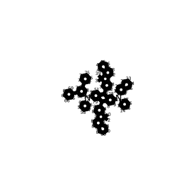 CC1(C)c2cc(-c3c4ccc(N(c5ccccc5)c5ccc6ccccc6c5)cc4c(-c4ccc5c(c4)C(C)(C)c4c-5ccc5ccccc45)c4ccc(N(c5ccccc5)c5cc(-c6ccccc6)cc(-c6ccccc6)c5)cc34)ccc2-c2ccc3ccccc3c21